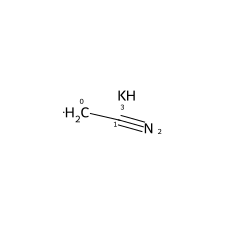 [CH2]C#N.[KH]